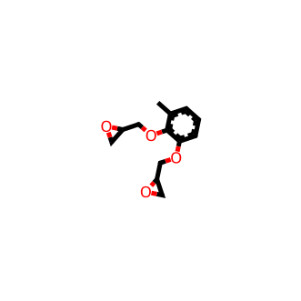 Cc1cccc(OCC2CO2)c1OCC1CO1